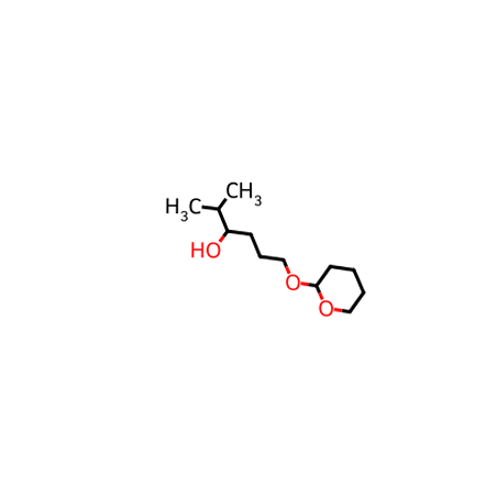 CC(C)C(O)CCCOC1CCCCO1